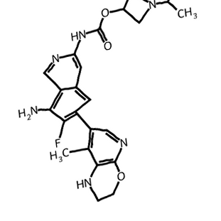 Cc1c(-c2cc3cc(NC(=O)OC4CN(C(C)C)C4)ncc3c(N)c2F)cnc2c1NCCO2